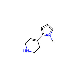 Cn1cccc1C1=CCNCC1